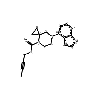 CC#CCOC(=O)N1CCN(c2ncnc3[nH]ccc23)CC12CC2